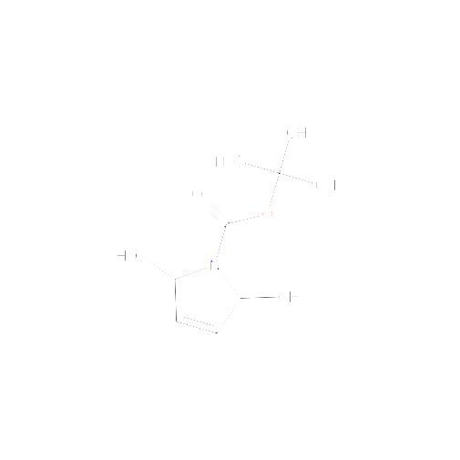 CC1C=CC(C)N1C(=O)OC(C)(C)C